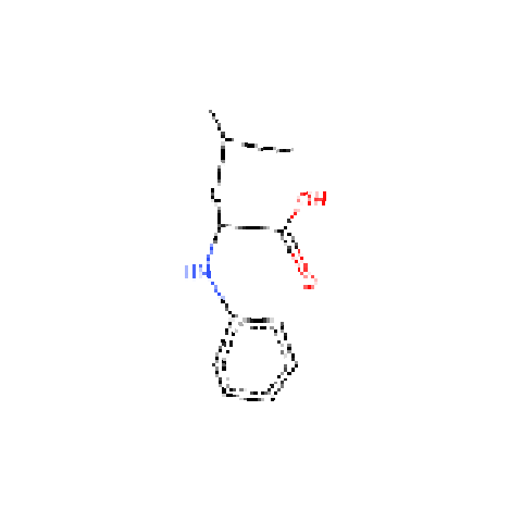 CC(C)CC(Nc1ccccc1)C(=O)O